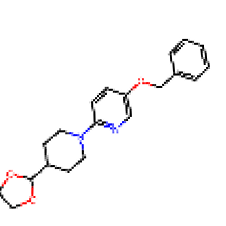 c1ccc(COc2ccc(N3CCC(C4OCCO4)CC3)nc2)cc1